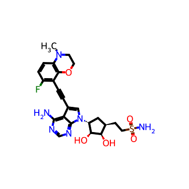 CN1CCOc2c1ccc(F)c2C#Cc1cn([C@@H]2C[C@@H](CCS(N)(=O)=O)[C@@H](O)[C@H]2O)c2ncnc(N)c12